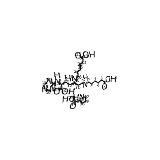 O=C(O)CCCCCNCCC(CCC(Nc1ncncn1)C(=O)O)NCCCCCC(=O)O.O=C(O)c1ccc[nH]1